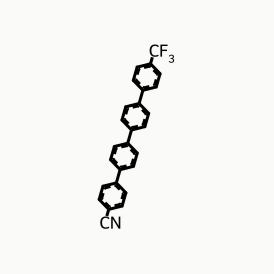 N#Cc1ccc(-c2ccc(-c3ccc(-c4ccc(C(F)(F)F)cc4)cc3)cc2)cc1